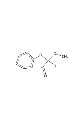 COC(F)([C]=O)Oc1ccccc1